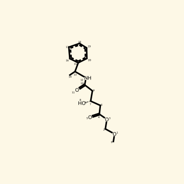 COCOC(=O)C[C@H](O)CC(=O)NC(C)c1ccccc1